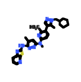 Cc1cc(N(C)c2ccc(-c3cnn(CC4CCCCC4)c3C)c(C(=O)O)n2)nnc1Nc1nc2cccnc2s1